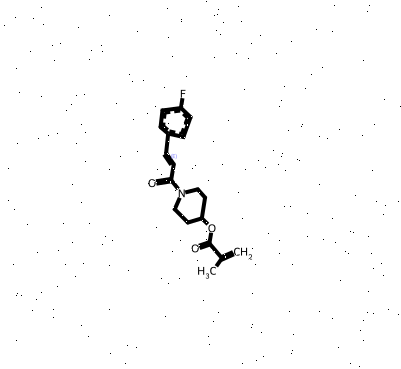 C=C(C)C(=O)OC1CCN(C(=O)/C=C/c2ccc(F)cc2)CC1